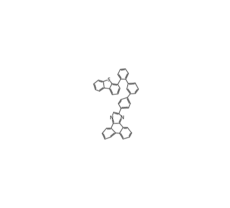 c1cc(-c2ccc(-c3cnc4c5ccccc5c5ccccc5c4n3)cc2)cc(-c2ccccc2-c2cccc3c2sc2ccccc23)c1